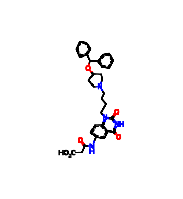 O=C(O)CC(=O)Nc1ccc2c(c1)c(=O)[nH]c(=O)n2CCCCN1CCC(OC(c2ccccc2)c2ccccc2)CC1